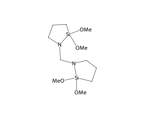 CO[Si]1(OC)CCCN1CN1CCC[Si]1(OC)OC